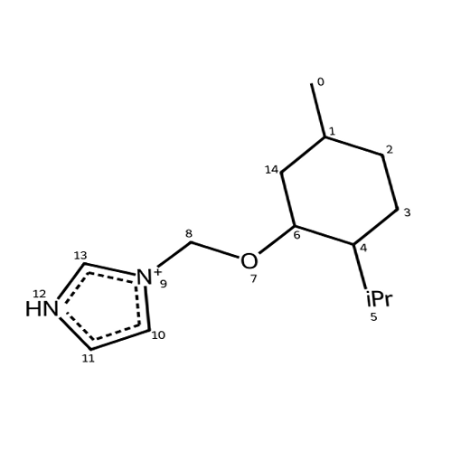 CC1CCC(C(C)C)C(OC[n+]2cc[nH]c2)C1